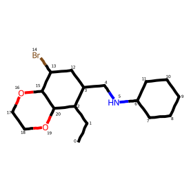 CCC1C(CNC2CCCCC2)CC(Br)C2OCCOC12